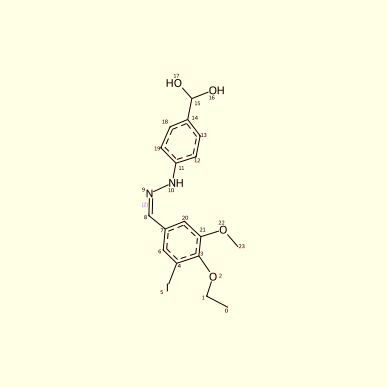 CCOc1c(I)cc(/C=N\Nc2ccc(C(O)O)cc2)cc1OC